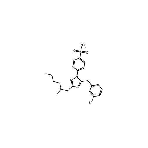 CCCCN(C)Cc1nc(Cc2cccc(Br)c2)n(-c2ccc(S(N)(=O)=O)cc2)n1